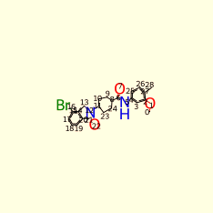 COc1cc(NC(=O)C2CCC(N3Cc4c(Br)cccc4C3=O)CC2)ccc1C